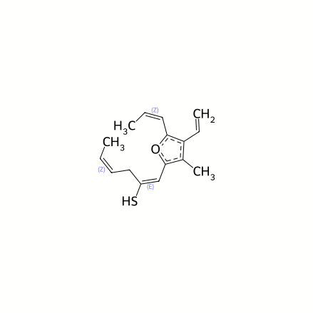 C=Cc1c(/C=C\C)oc(/C=C(/S)C/C=C\C)c1C